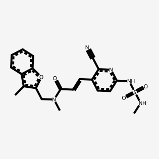 CNS(=O)(=O)Nc1ccc(/C=C/C(=O)N(C)Cc2oc3ccccc3c2C)c(C#N)n1